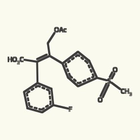 CC(=O)OC/C(=C(\C(=O)O)c1cccc(F)c1)c1ccc(S(C)(=O)=O)cc1